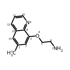 Cc1cc(OCCN)c2ncccc2c1